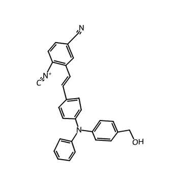 [C-]#[N+]c1ccc(C#N)cc1C=Cc1ccc(N(c2ccccc2)c2ccc(CO)cc2)cc1